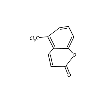 O=c1ccc2c(C(Cl)(Cl)Cl)cccc2o1